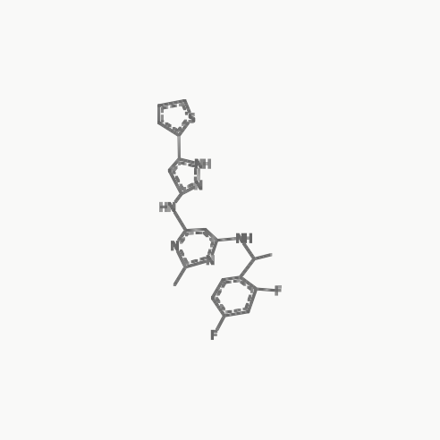 Cc1nc(Nc2cc(-c3cccs3)[nH]n2)cc(NC(C)c2ccc(F)cc2F)n1